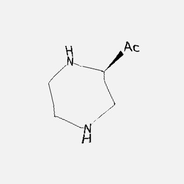 CC(=O)[C@H]1CNCCN1